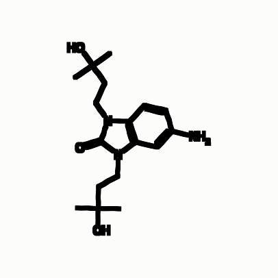 CC(C)(O)CCn1c(=O)n(CCC(C)(C)O)c2cc(N)ccc21